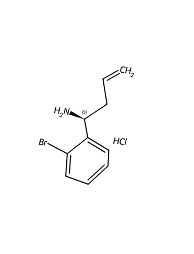 C=CC[C@H](N)c1ccccc1Br.Cl